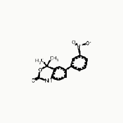 CC1(C)OC(=O)Nc2ccc(-c3cccc([N+](=O)[O-])c3)cc21